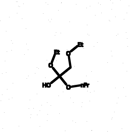 CCCOC(O)(COCC)OCC